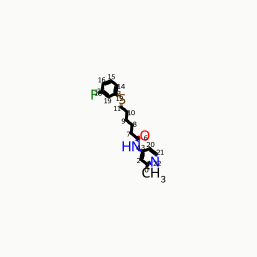 Cc1cc(NC(=O)CCCCCSc2cccc(F)c2)ccn1